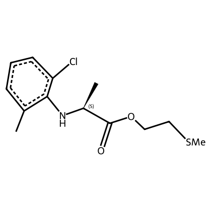 CSCCOC(=O)[C@H](C)Nc1c(C)cccc1Cl